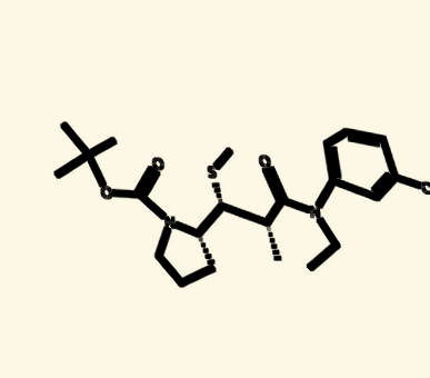 CCN(C(=O)[C@H](C)[C@@H](SC)[C@@H]1CCCN1C(=O)OC(C)(C)C)c1cccc(O)c1